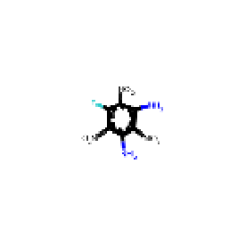 Nc1c([N+](=O)[O-])c(N)c([N+](=O)[O-])c(F)c1[N+](=O)[O-]